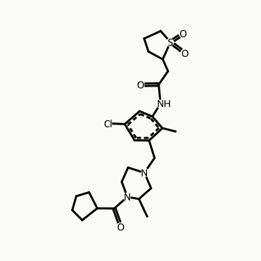 Cc1c(CN2CCN(C(=O)C3CCCC3)C(C)C2)cc(Cl)cc1NC(=O)CC1CCCS1(=O)=O